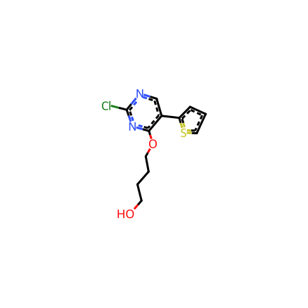 OCCCCOc1nc(Cl)ncc1-c1cccs1